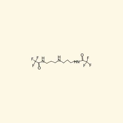 O=C(NCCCCNCCCNC(=O)C(F)(F)F)C(F)(F)F